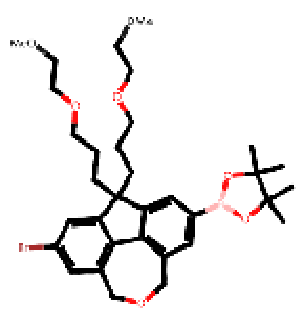 COCCOCCCC1(CCCOCCOC)c2cc(Br)cc3c2-c2c(cc(B4OC(C)(C)C(C)(C)O4)cc21)COC3